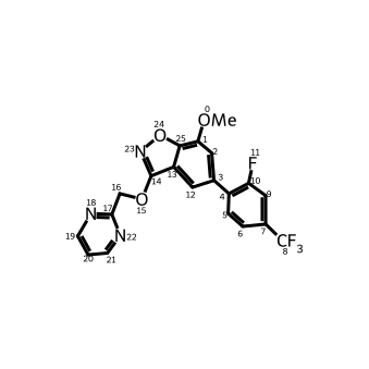 COc1cc(-c2ccc(C(F)(F)F)cc2F)cc2c(OCc3ncccn3)noc12